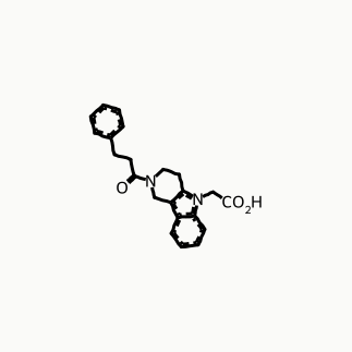 O=C(O)Cn1c2c(c3ccccc31)CN(C(=O)CCc1ccccc1)CC2